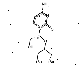 CC(C)(C)CC(CC(C)(C)C)O[C@H](CO)n1ccc(N)nc1=O